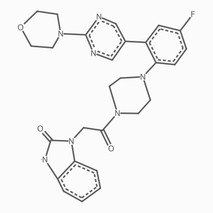 O=C(CN1C(=O)[N]c2ccccc21)N1CCN(c2ccc(F)cc2-c2cnc(N3CCOCC3)nc2)CC1